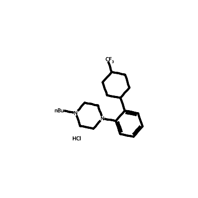 CCCCN1CCN(c2ccccc2C2CCC(C(F)(F)F)CC2)CC1.Cl